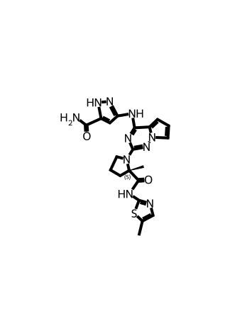 Cc1cnc(NC(=O)[C@]2(C)CCCN2c2nc(Nc3cc(C(N)=O)[nH]n3)c3cccn3n2)s1